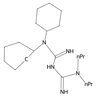 CCCN(CCC)C(=N)NC(=N)N(C1CCCCC1)C1CCCCC1